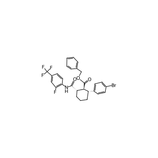 O=C(OCc1ccccc1)[C@@H]1[C@@H](C(=O)Nc2ccc(C(F)(F)F)cc2F)CCC[C@H]1c1ccc(Br)cc1